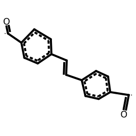 O=[C]c1ccc(C=Cc2ccc([C]=O)cc2)cc1